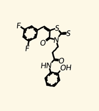 O=C(CCN1C(=O)/C(=C\c2cc(F)cc(F)c2)SC1=S)Nc1ccccc1O